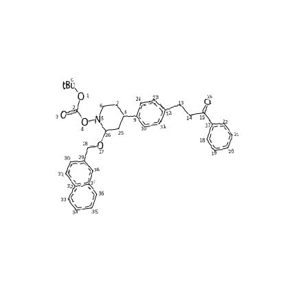 CC(C)(C)OC(=O)ON1CCC(c2ccc(CCC(=O)c3ccccc3)cc2)CC1OCc1ccc2ccccc2c1